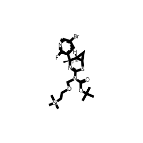 CC(C)(C)OC(=O)N(COCC[Si](C)(C)C)C1=N[C@](C)(c2cc(Br)cnc2F)[C@@H]2CC2S1